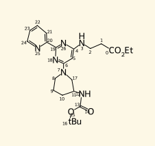 CCOC(=O)CCNc1cc(N2CCCC(NC(=O)OC(C)(C)C)C2)nc(-c2ccccn2)n1